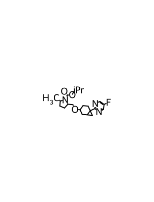 CC(C)OC(=O)N1C(C)CCC1COC1CCC2(c3ncc(F)cn3)CC2C1